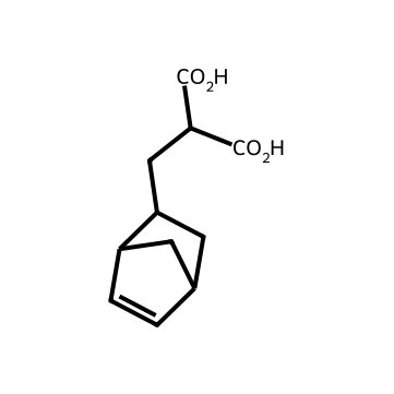 O=C(O)C(CC1CC2C=CC1C2)C(=O)O